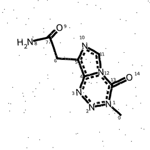 Cn1nnc2c(CC(N)=O)ncn2c1=O